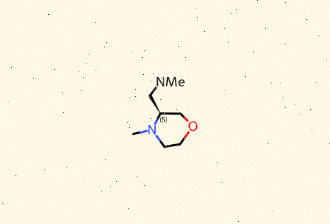 CNC[C@H]1COCCN1C